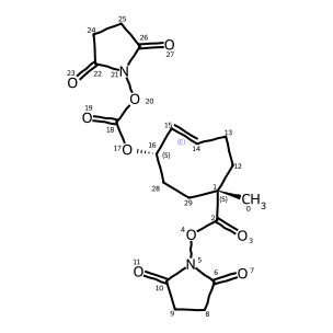 C[C@]1(C(=O)ON2C(=O)CCC2=O)CC/C=C/[C@@H](OC(=O)ON2C(=O)CCC2=O)CC1